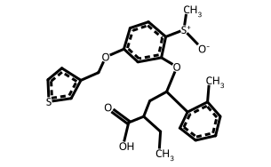 CCC(CC(Oc1cc(OCc2ccsc2)ccc1[S+](C)[O-])c1ccccc1C)C(=O)O